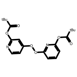 CC(C)(C)C(=O)Oc1cc(OOc2cccc(OC(=O)C(C)(C)C)n2)ccn1